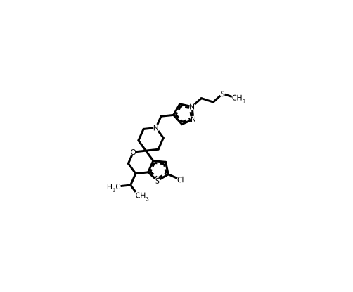 CSCCn1cc(CN2CCC3(CC2)OCC(C(C)C)c2sc(Cl)cc23)cn1